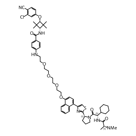 CN[C@@H](C)C(=O)N[C@H](C(=O)N1CCC[C@H]1c1nc(-c2ccc(OCCOCCOCCOCCNc3ccc(C(=O)N[C@H]4C(C)(C)[C@H](Oc5ccc(C#N)c(Cl)c5)C4(C)C)cc3)c3ccccc23)cs1)C1CCCCC1